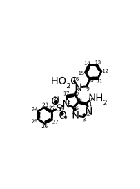 Nc1ncnc2c1c(N(Cc1ccccc1)C(=O)O)cn2S(=O)(=O)c1ccccc1